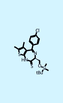 Cc1sc2c(c1C)C(c1ccc(Cl)cc1)=N[C@@H](CO[Si](C)(C)C(C)(C)C)C(=S)N2